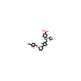 N#Cc1ccc(COc2cccc(-c3cc(F)c(Cc4nc5ccc(C(=O)O)cc5n4[C@@H]4CCOC4)cc3F)n2)c(F)c1